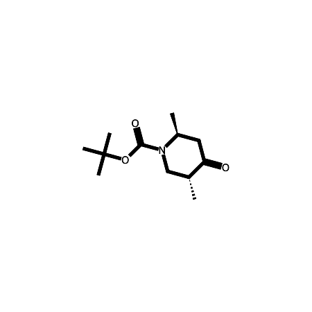 C[C@@H]1CN(C(=O)OC(C)(C)C)[C@@H](C)CC1=O